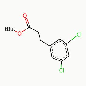 CC(C)(C)OC(=O)CCc1cc(Cl)cc(Cl)c1